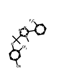 Cn1c(-c2ccccc2C(F)(F)F)nnc1C(C)(C)Oc1ccc(C#N)cc1C(F)(F)F